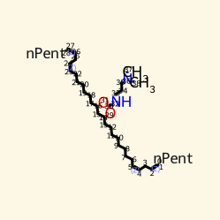 CCCCC/C=C\C/C=C\CCCCCCCCC(CCCCCCCC/C=C\C/C=C\CCCCC)OC(=O)NCCCN(C)C